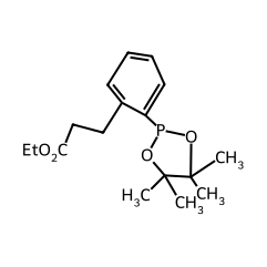 CCOC(=O)CCc1ccccc1P1OC(C)(C)C(C)(C)O1